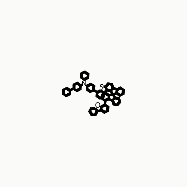 c1ccc(-c2ccc(N(c3ccccc3)c3ccc(-c4cccc5c4sc4ccc6c(c45)C4(c5ccccc5-6)c5ccccc5-c5c(-c6cccc7c6oc6ccccc67)cccc54)cc3)cc2)cc1